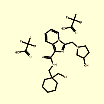 O=C(NCC1(CO)CCCCC1)c1nc(CN2CCC(O)C2)n2ccccc12.O=C(O)C(F)(F)F.O=C(O)C(F)(F)F